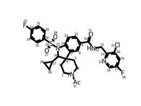 CC(=O)N1CCC2(CC1)c1cc(C(=O)NCc3ncc(F)cc3Cl)ccc1N(S(=O)(=O)c1ccc(F)cc1)C2C1CC1